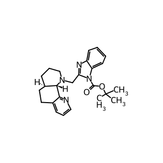 CC(C)(C)OC(=O)n1c(CN2CCC[C@@H]3CCc4cccnc4[C@H]32)nc2ccccc21